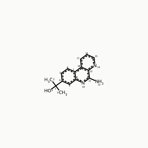 CC(C)(O)c1ccc2c(c1)nc(N)c1ncccc12